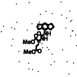 COC(=O)CC[C@@H](NC(=O)Nc1c2c(cc3c1CCC3)CCC2)C(=O)OC